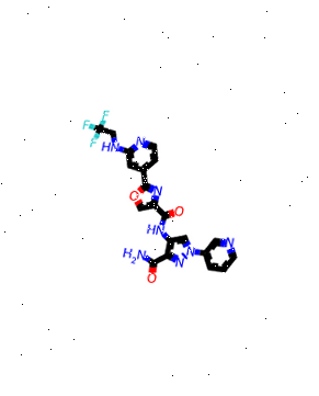 NC(=O)c1nn(-c2cccnc2)cc1NC(=O)c1coc(-c2ccnc(NCC(F)(F)F)c2)n1